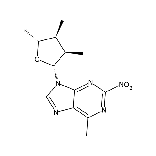 Cc1nc([N+](=O)[O-])nc2c1ncn2[C@@H]1O[C@H](C)[C@@H](C)[C@H]1C